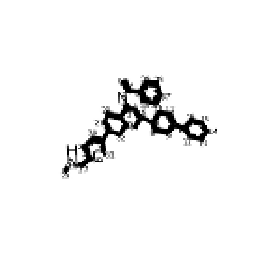 C=C(/N=C(\C=C(/C)C1C=CC(c2ccccc2)=CC1)C1=CC=C(c2ccc(CNC)cc2)CC1)c1ccccc1